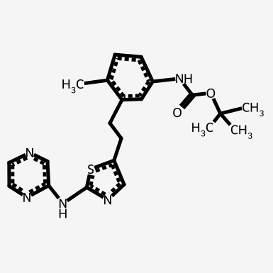 Cc1ccc(NC(=O)OC(C)(C)C)cc1CCc1cnc(Nc2cnccn2)s1